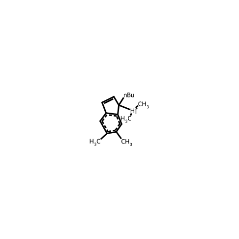 CCCC[C]1([Hf]([CH3])[CH3])C=Cc2cc(C)c(C)cc21